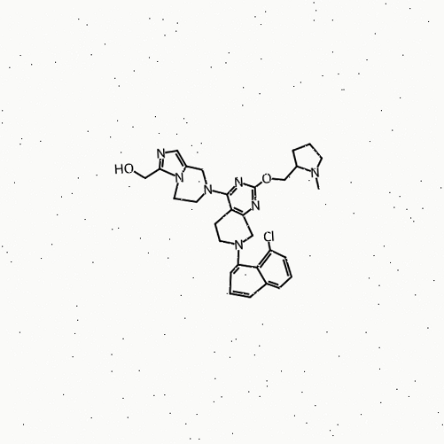 CN1CCCC1COc1nc2c(c(N3CCn4c(cnc4CO)C3)n1)CCN(c1cccc3cccc(Cl)c13)C2